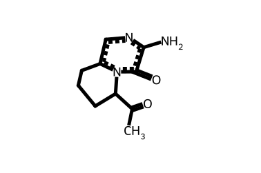 CC(=O)C1CCCc2cnc(N)c(=O)n21